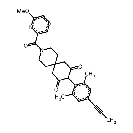 CC#Cc1cc(C)c(C2C(=O)CC3(CCN(C(=O)c4cncc(OC)n4)CC3)CC2=O)c(C)c1